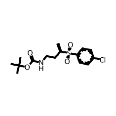 C=C(CCNC(=O)OC(C)(C)C)S(=O)(=O)c1ccc(Cl)cc1